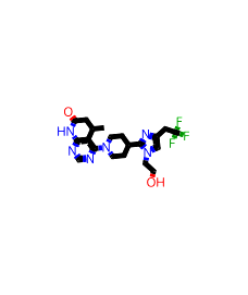 CC1CC(=O)Nc2ncnc(N3CCC(c4nc(CC(F)(F)F)cn4CCO)CC3)c21